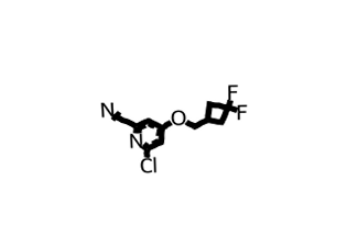 N#Cc1cc(OCC2CC(F)(F)C2)cc(Cl)n1